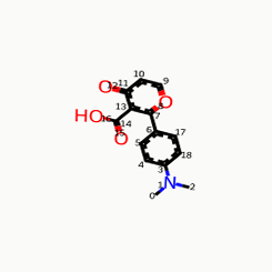 CN(C)c1ccc(-c2occc(=O)c2C(=O)O)cc1